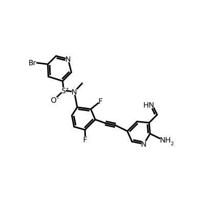 CN(c1ccc(F)c(C#Cc2cnc(N)c(C=N)c2)c1F)[S+]([O-])c1cncc(Br)c1